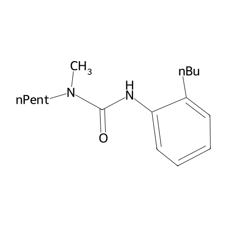 [CH2]CCCc1ccccc1NC(=O)N(C)CCCCC